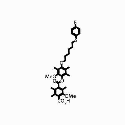 COc1c(C)c(OCCCCCCSc2ccc(F)cc2)c(C)c(C)c1OC(=O)c1c(C)c(C)c(C(=O)O)c(OC)c1C